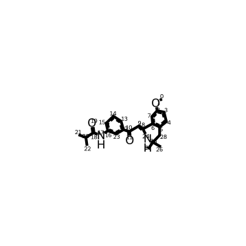 COc1ccc2c(c1)C(=CC(=O)c1cccc(NC(=O)C(C)C)c1)NC(C)(C)C2